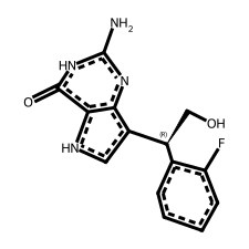 Nc1nc2c([C@@H](CO)c3ccccc3F)c[nH]c2c(=O)[nH]1